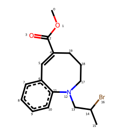 COC(=O)/C1=C/c2ccccc2N(CC(C)Br)CCC1